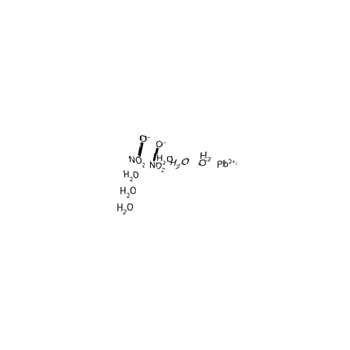 O.O.O.O.O.O.O=[N+]([O-])[O-].O=[N+]([O-])[O-].[Pb+2]